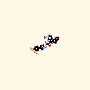 COc1ccc(-c2cnc(SCC(=O)NC(C)(c3ccc4c(c3)CCC4)C3CCCNC3)nc2)cc1OC